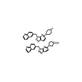 CN1CCN(c2ccc3nnn(Cc4ccc5ncccc5c4)c3n2)CC1.O[C@@H]1CCN(c2ccc3nnn(Cc4ccc5ncccc5c4)c3n2)C1